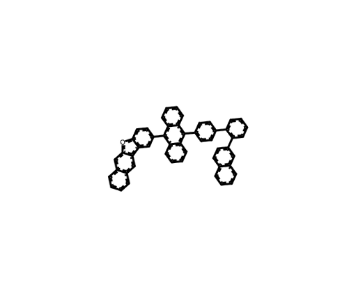 c1ccc(-c2ccc3ccccc3c2)c(-c2ccc(-c3c4ccccc4c(-c4ccc5oc6cc7ccccc7cc6c5c4)c4ccccc34)cc2)c1